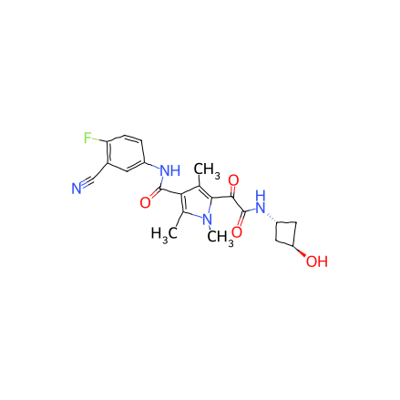 Cc1c(C(=O)Nc2ccc(F)c(C#N)c2)c(C)n(C)c1C(=O)C(=O)N[C@H]1C[C@H](O)C1